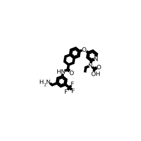 CCN(C(=O)O)c1cc(Oc2ccc3c(c2)CC(C(=O)Nc2cc(CN)cc(C(F)(F)F)c2)CC3)ccn1